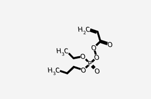 C=CC(=O)OOP(=O)(OCC)OCCC